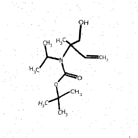 C=CC(C)(CO)N(C(=O)OC(C)(C)C)C(C)C